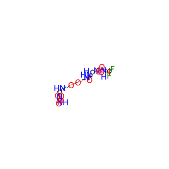 O=C(NCCCCOCCCOCCCCNc1ccc2c(c1)ON(C1CCONO1)O2)c1cc2cc(N3CCC(O)(C(=O)NCc4cc(F)cc(F)c4)O3)ccc2[nH]1